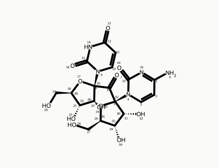 Nc1ccn([C@]2(C(=O)[C@@]3(n4ccc(=O)[nH]c4=O)O[C@H](CO)[C@@H](O)[C@H]3O)O[C@H](CO)[C@@H](O)[C@H]2O)c(=O)n1